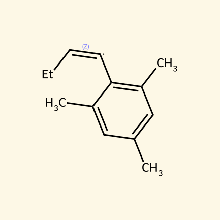 CC/C=[C]\c1c(C)cc(C)cc1C